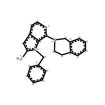 Cc1cc2ccnc(N3CCc4ccccc4C3)c2n1Cc1ccccc1